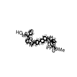 COC(=O)N[C@H](C(=O)N1[C@@H]2CC[C@@H](C2)[C@H]1c1nc2ccc3cc(-c4ccc(-c5cnc([C@@H]6CCCN6C(=O)[C@@H](NC(=O)O)C6CCOCC6)[nH]5)cc4)ccc3c2[nH]1)C(C)C